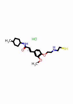 COc1cc(/C=C/C(=O)NC2CCC(C)CC2)ccc1OCCNCCS.Cl